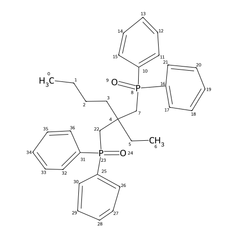 CCCCC(CC)(CP(=O)(c1ccccc1)c1ccccc1)CP(=O)(c1ccccc1)c1ccccc1